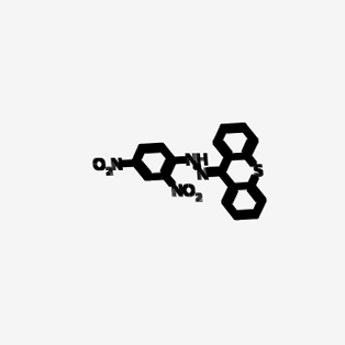 O=[N+]([O-])c1ccc(NN=c2c3ccccc3sc3ccccc23)c([N+](=O)[O-])c1